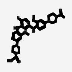 COc1cc(N2CCN(C(C)=O)CC2)ccc1Nc1ncc(F)c(Nc2ccc(N3CCN(C(=O)O)CC3)cc2OC)n1